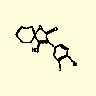 Cc1cc(C2=C(O)C3(CCCCC3)OC2=O)ccc1Br